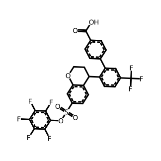 O=C(O)c1ccc(-c2cc(C(F)(F)F)ccc2C2CCOc3cc(S(=O)(=O)Oc4c(F)c(F)c(F)c(F)c4F)ccc32)cc1